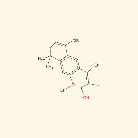 CCOc1cc2c(cc1/C(CC)=C(/F)CO)C(C(C)(C)C)=CCC2(C)C